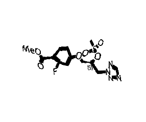 COC(=O)c1ccc(OC[C@H](Cn2ncnn2)OS(C)(=O)=O)cc1F